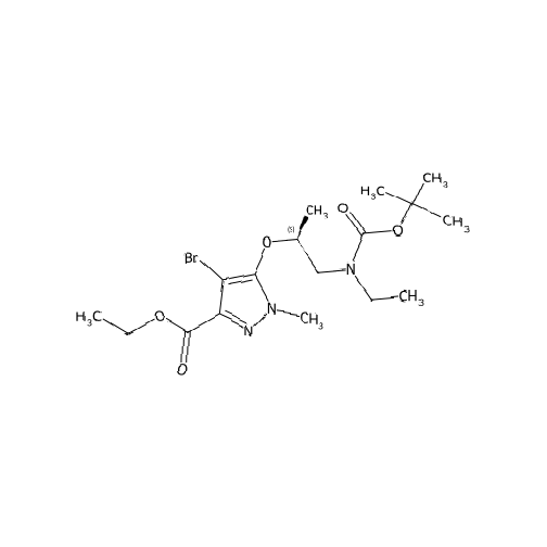 CCOC(=O)c1nn(C)c(O[C@@H](C)CN(CC)C(=O)OC(C)(C)C)c1Br